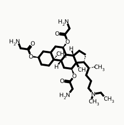 CCN(C)CCC[C@@H](C)[C@H]1CC[C@H]2C3[C@H](OC(=O)CN)CC4C[C@H](OC(=O)CN)CC[C@]4(C)[C@H]3C[C@H](OC(=O)CN)C12C